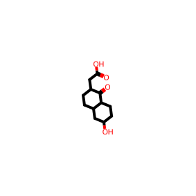 O=C(O)CC1CCC2CC(O)CCC2C1=O